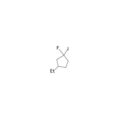 CCC1CCC(F)(I)C1